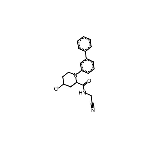 N#CCNC(=O)C1CC(Cl)CCN1c1cccc(-c2ccccc2)c1